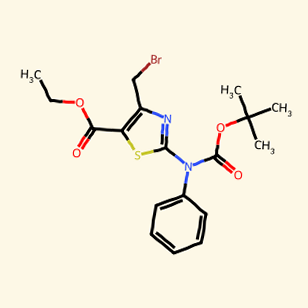 CCOC(=O)c1sc(N(C(=O)OC(C)(C)C)c2ccccc2)nc1CBr